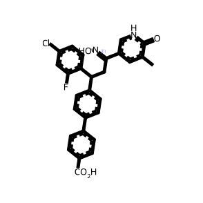 Cc1cc(/C(CC(c2ccc(-c3ccc(C(=O)O)cc3)cc2)c2ccc(Cl)cc2F)=N/O)c[nH]c1=O